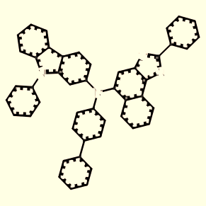 c1ccc(-c2ccc(N(c3ccc4c5ccccc5n(-c5ccccc5)c4c3)c3cc4oc(-c5ccccc5)nc4c4ccccc34)cc2)cc1